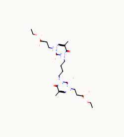 CCOC(=O)CCn1cc(C)c(=O)n(CCCCn2c(=O)c(C)cn(CCC(=O)OCC)c2=O)c1=O